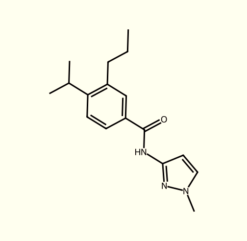 CCCc1cc(C(=O)Nc2ccn(C)n2)ccc1C(C)C